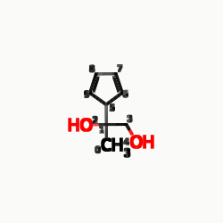 CC(O)(CO)C1C=CC=C1